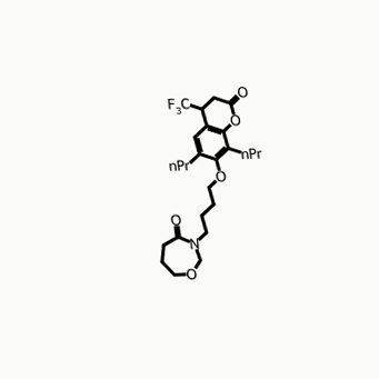 CCCc1cc2c(c(CCC)c1OCCCCN1COCCCC1=O)OC(=O)CC2C(F)(F)F